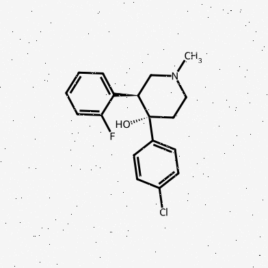 CN1CC[C@@](O)(c2ccc(Cl)cc2)[C@@H](c2ccccc2F)C1